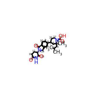 CC(C)C[C@@]1(C)CC(c2ccc3c(c2)CN(C2CCC(=O)NC2=O)C3=O)CCN1C(=O)O